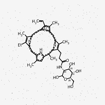 C=Cc1c(C)c2cc3nc(c(C)c4cc(C)c(cc5nc(cc1[nH]2)C(C)=C5CC)[nH]4)C(CCC(=O)N[C@H]1C(O)O[C@H](CO)[C@@H](O)[C@@H]1O)=C3C